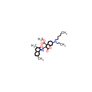 CCCCCCN(CCC)c1ccc2c(C(=O)OC)c(-c3nc4c(o3)c(C)cc3ccc(C)cc34)c(=O)oc2c1